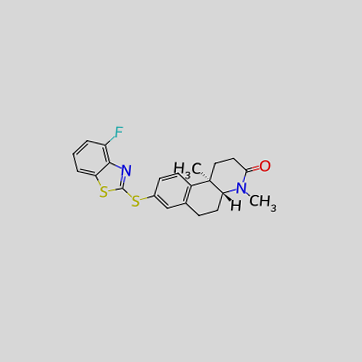 CN1C(=O)CC[C@]2(C)c3ccc(Sc4nc5c(F)cccc5s4)cc3CC[C@@H]12